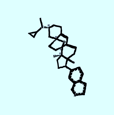 CN(C1CC1)[C@@H]1CCC2=CC3=CCC4(C)C(c5ccc6ccncc6c5)CC[C@H]4[C@@]34CC[C@]2(C1)O4